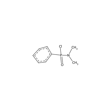 CN(C)P(=O)(Cl)c1ccccc1